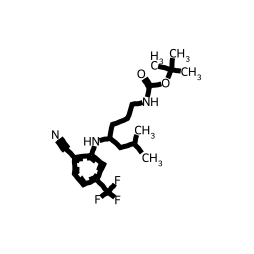 CC(C)CC(CCCNC(=O)OC(C)(C)C)Nc1cc(C(F)(F)F)ccc1C#N